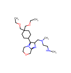 CCOCC1(COCC)CCC(C2=[N+]3CCOCC3=NC2CN(C)CCNC)CC1